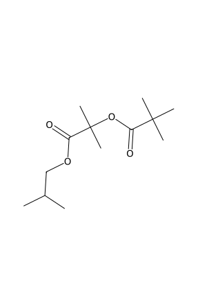 CC(C)COC(=O)C(C)(C)OC(=O)C(C)(C)C